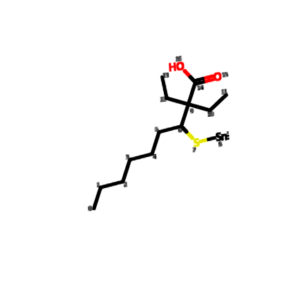 CCCCCCC([S][Sn])C(CC)(CC)C(=O)O